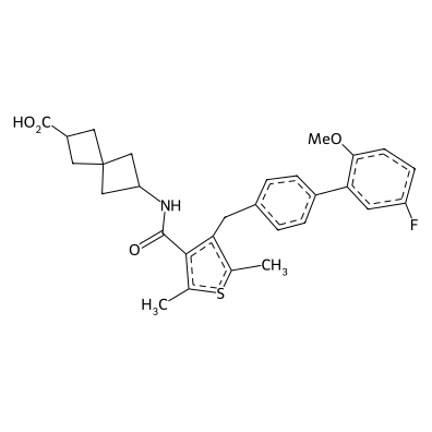 COc1ccc(F)cc1-c1ccc(Cc2c(C)sc(C)c2C(=O)NC2CC3(C2)CC(C(=O)O)C3)cc1